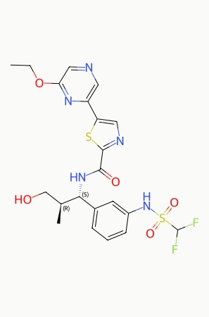 CCOc1cncc(-c2cnc(C(=O)N[C@H](c3cccc(NS(=O)(=O)C(F)F)c3)[C@@H](C)CO)s2)n1